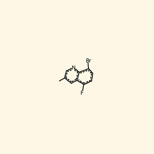 Cc1cnc2c(Br)ccc(F)c2c1